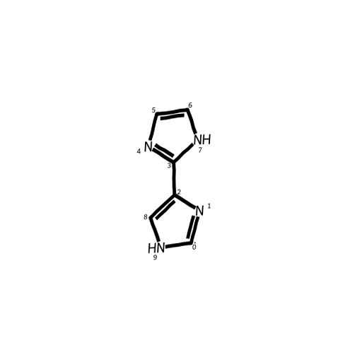 [c]1nc(-c2ncc[nH]2)c[nH]1